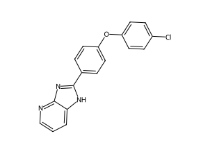 Clc1ccc(Oc2ccc(-c3nc4ncccc4[nH]3)cc2)cc1